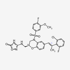 COc1cc(S(=O)(=O)N2C[C@H](CNc3noc(=O)[nH]3)Oc3ccc(/C=C(\C)c4c(F)cccc4Cl)cc32)ccc1F